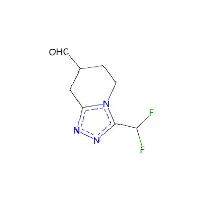 O=CC1CCn2c(nnc2C(F)F)C1